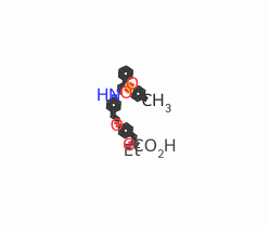 CCOC(Cc1ccc(OCCc2ccc(NCCC(c3ccccc3)S(=O)(=O)c3ccc(C)cc3)cc2)cc1)C(=O)O